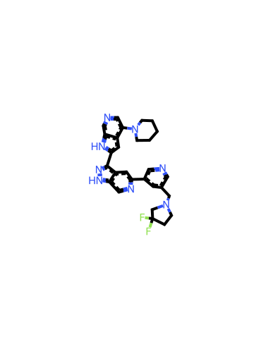 FC1(F)CCN(Cc2cncc(-c3cc4c(-c5cc6c(N7CCCCC7)cncc6[nH]5)n[nH]c4cn3)c2)C1